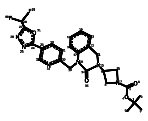 CC(C)(C)OC(=O)N1CC(N2Cc3ccccc3N(Cc3ccc(-c4nnc(C(F)F)o4)cn3)C2=O)C1